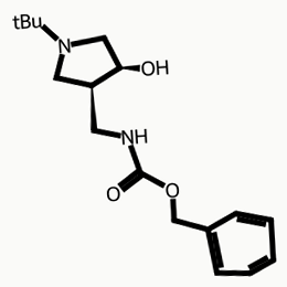 CC(C)(C)N1C[C@H](CNC(=O)OCc2ccccc2)[C@H](O)C1